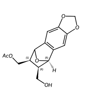 CC(=O)OC[C@H]1C2O[C@@H](c3cc4c(cc32)OCO4)[C@H]1CO